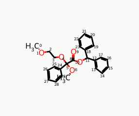 COCCOC(OC)(C(=O)OC(c1ccccc1)c1ccccc1)c1ccccc1